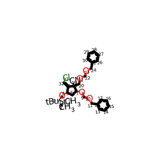 CC(C)(C)[Si](C)(C)O[C@@H]1C[C@H](OCOCc2ccccc2)[C@@](C#N)(COCOCc2ccccc2)/C1=C\Cl